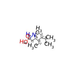 CCC(C(C)C)C(CC)C(N)CC(=O)O